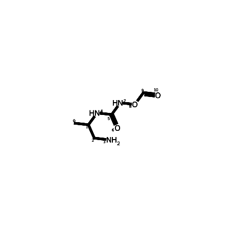 CC(CN)NC(=O)NOC=O